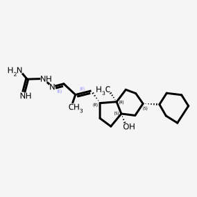 CC(/C=N/NC(=N)N)=C\[C@H]1CC[C@]2(O)C[C@@H](C3CCCCC3)CC[C@]12C